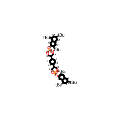 CC(C)(C)c1cc(C(C)(C)C)c2cc(OP3OCC(c4ccc(C5COP(Oc6cc7c(C(C)(C)C)cc(C(C)(C)C)cc7cc6C(C)(C)C)OC5)cc4)CO3)c(C(C)(C)C)cc2c1